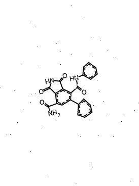 NC(=O)c1cc(-c2ccccc2)c(C(=O)Nc2ccccc2)c2c1C(=O)NC2=O